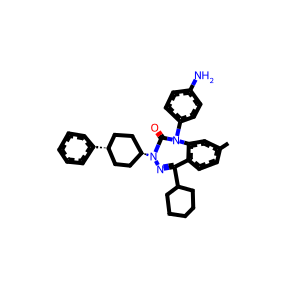 Cc1ccc2c(c1)N(c1ccc(N)cc1)C(=O)N([C@H]1CC[C@@H](c3ccccc3)CC1)N=C2C1CCCCC1